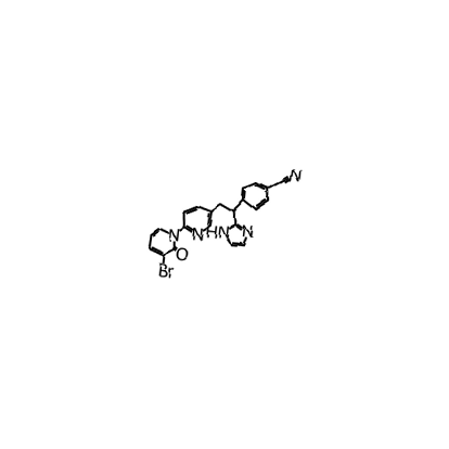 N#Cc1ccc(C(Cc2ccc(-n3cccc(Br)c3=O)nc2)c2ncc[nH]2)cc1